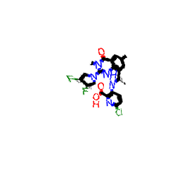 Cc1cc([C@H](C)Nc2ccc(Cl)nc2C(=O)O)c2nc(N3C[C@H](F)[C@@H](F)C3)n(C)c(=O)c2c1